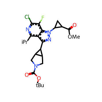 COC(=O)C1CC1n1nc(C2C3CN(C(=O)OC(C)(C)C)CC32)c2c(C(C)C)nc(Cl)c(F)c21